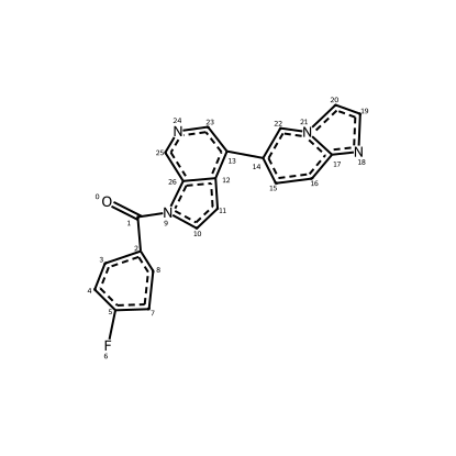 O=C(c1ccc(F)cc1)n1ccc2c(-c3ccc4nccn4c3)cncc21